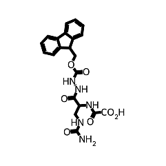 NC(=O)NCC(NC(=O)C(=O)O)C(=O)NNC(=O)OCC1c2ccccc2-c2ccccc21